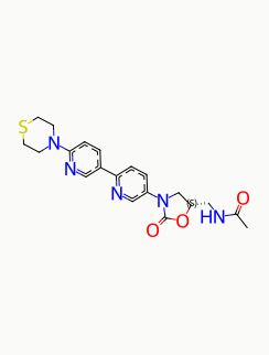 CC(=O)NC[C@H]1CN(c2ccc(-c3ccc(N4CCSCC4)nc3)nc2)C(=O)O1